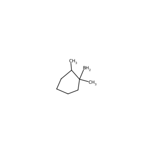 BC1(C)CCCCC1C